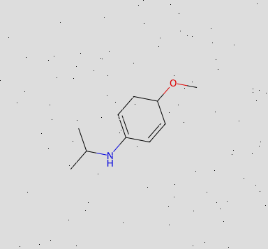 COC1C=CC(NC(C)C)=CC1